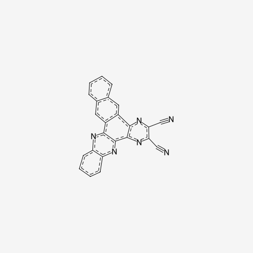 N#Cc1nc2c3cc4ccccc4cc3c3nc4ccccc4nc3c2nc1C#N